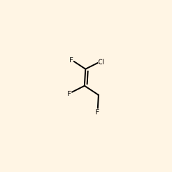 FCC(F)=C(F)Cl